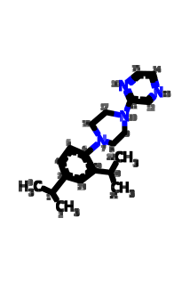 CC(C)c1ccc(N2CCN(c3cnccn3)CC2)c(C(C)C)c1